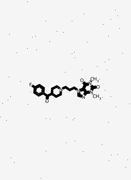 Cn1c(=O)c2c(ncn2CCCN2CCC(C(=O)c3ccc(F)cc3)CC2)n(C)c1=O